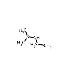 C[SiH2]NN(C)C